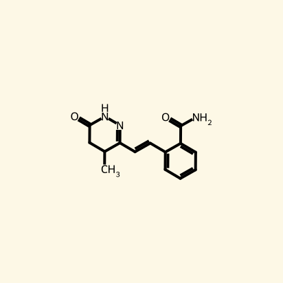 CC1CC(=O)NN=C1C=Cc1ccccc1C(N)=O